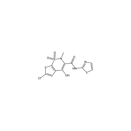 CN1C(C(=O)Nc2nccs2)=C(O)c2cc(Cl)sc2S1(=O)=O